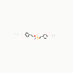 COc1ccc(C=CC(=O)C(I)S(=O)(=O)C=Cc2ccc(OC)c(O)c2)cc1O